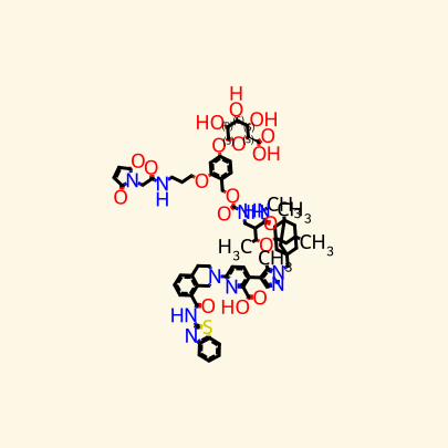 CNC(=O)C(CNC(=O)OCc1ccc(O[C@@H]2O[C@H](C(=O)O)[C@@H](O)[C@H](O)[C@H]2O)cc1OCCCNC(=O)CN1C(=O)C=CC1=O)C(C)OC12CC3(C)CC(C)(CC(Cn4ncc(-c5ccc(N6CCc7cccc(C(=O)Nc8nc9ccccc9s8)c7C6)nc5C(=O)O)c4C)(C3)C1)C2